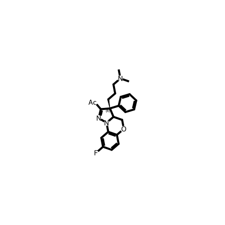 CC(=O)C1=NN2c3cc(F)ccc3OCC2[C@@]1(CCCN(C)C)c1ccccc1